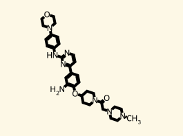 CN1CCN(CC(=O)N2CCC(Oc3ccc(-c4ccnc(Nc5ccc(N6CCOCC6)cc5)n4)cc3N)CC2)CC1